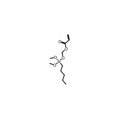 C=CC(=O)OCO[Si](CCCCC)(OC)OC